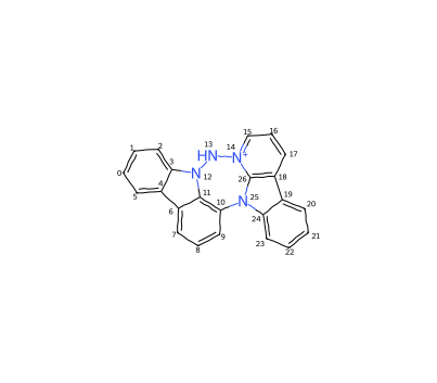 c1ccc2c(c1)c1cccc3c1n2[nH][n+]1cccc2c4ccccc4n3c21